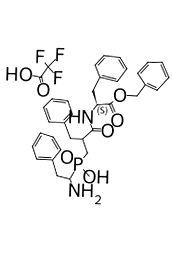 NC(Cc1ccccc1)P(=O)(O)CC(Cc1ccccc1)C(=O)N[C@@H](Cc1ccccc1)C(=O)OCc1ccccc1.O=C(O)C(F)(F)F